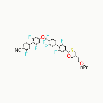 CCCOCCC1COC(c2cc(F)c(-c3ccc(C(F)(F)Oc4cc(F)c(-c5ccc(C#N)c(F)c5)c(F)c4)c(F)c3)c(F)c2)SC1